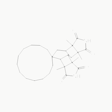 CC12CC(CC3(C4CC5(C)C(=O)NC(=O)C45C)CCCCCCCCCCCC3)C1(C)C(=O)NC2=O